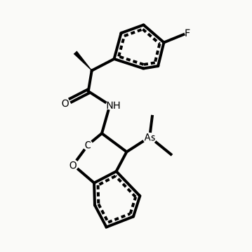 C[C@H](C(=O)NC1COc2ccccc2C1[As](C)C)c1ccc(F)cc1